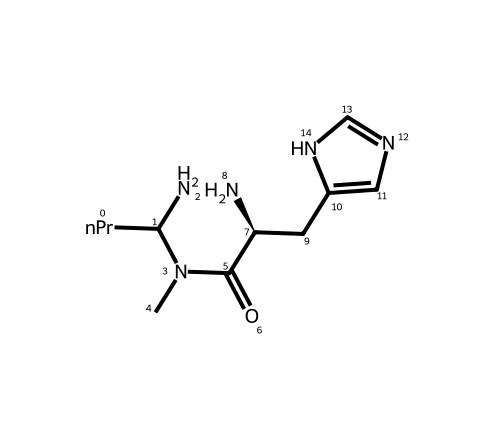 CCCC(N)N(C)C(=O)[C@@H](N)Cc1cnc[nH]1